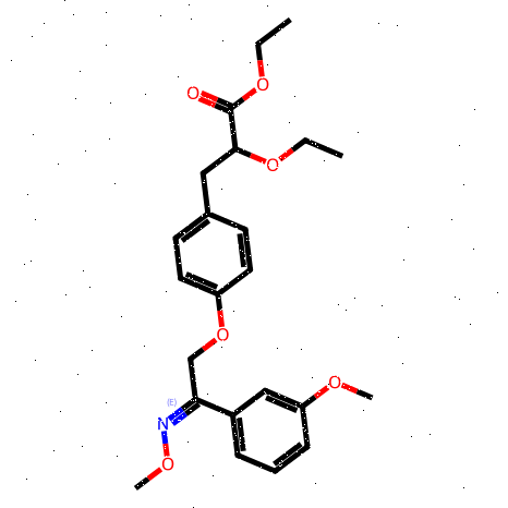 CCOC(=O)C(Cc1ccc(OC/C(=N/OC)c2cccc(OC)c2)cc1)OCC